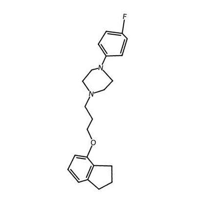 Fc1ccc(N2CCN(CCCOc3cccc4c3CCC4)CC2)cc1